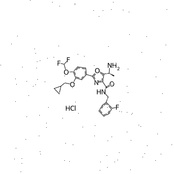 C[C@H](N)c1oc(-c2ccc(OC(F)F)c(OCC3CC3)c2)nc1C(=O)NCc1ccccc1F.Cl